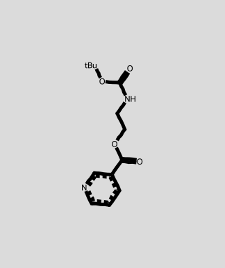 CC(C)(C)OC(=O)NCCOC(=O)c1cccnc1